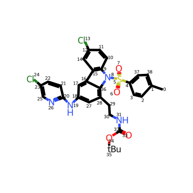 Cc1ccc(S(=O)(=O)n2c3ccc(Cl)cc3c3cc(Nc4ccc(Cl)cn4)cc(CCNC(=O)OC(C)(C)C)c32)cc1